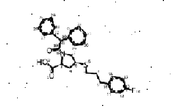 O=C(O)[C@@H]1C[C@H](SCCCc2ccc(F)cc2)CN1C(=O)C(c1ccccc1)c1ccccc1